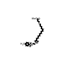 COC(=O)CCSCCCC/C=C\CCCCCCCc1cn(CCOS(=O)(=O)c2ccc(C)cc2)nn1